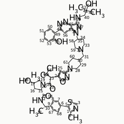 Cc1ncsc1-c1ccc([C@H](C)NC(=O)[C@@H]2C[C@@H](O)CN2C(=O)C(c2cc(N3CCC(CN4CCC(n5nc(NCC(C)(C)O)c6nnc(-c7ccccc7O)cc65)CC4)CC3)no2)C(C)C)cc1